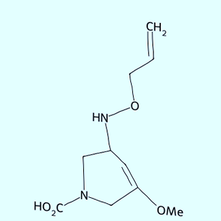 C=CCONC1C=C(OC)CN(C(=O)O)C1